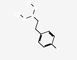 CON(CCc1ccc(F)cc1)OC